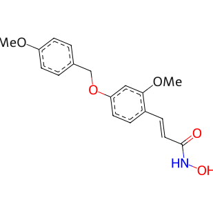 COc1ccc(COc2ccc(/C=C/C(=O)NO)c(OC)c2)cc1